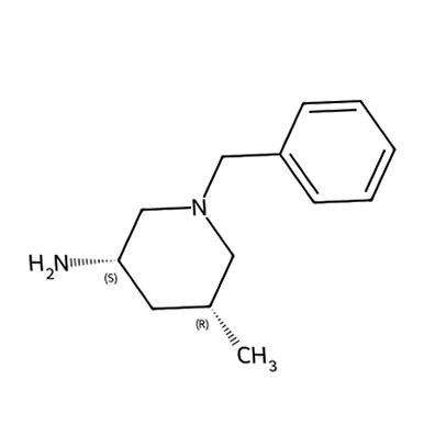 C[C@@H]1C[C@H](N)CN(Cc2ccccc2)C1